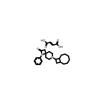 O=C(O)/C=C/C(=O)O.O=C1CC2(CCN(C3CC4CCCCCCC43)CC2)N1c1ccccc1